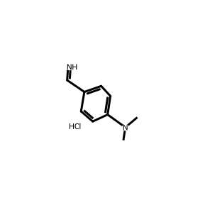 CN(C)c1ccc(C=N)cc1.Cl